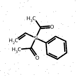 C=C[Si](C(C)=O)(C(C)=O)c1ccccc1